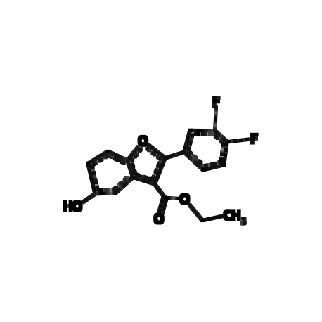 CCOC(=O)c1c(-c2ccc(F)c(F)c2)oc2ccc(O)cc12